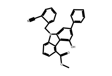 COC(=O)c1cccc2c1c1c(O)cc(-c3ccccc3)cc1n2Cc1ccccc1C#N